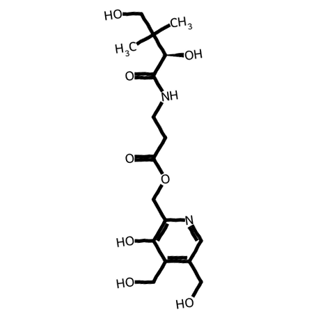 CC(C)(CO)[C@@H](O)C(=O)NCCC(=O)OCc1ncc(CO)c(CO)c1O